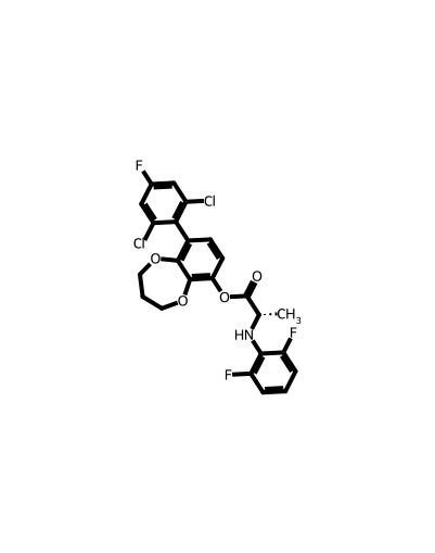 C[C@H](Nc1c(F)cccc1F)C(=O)Oc1ccc(-c2c(Cl)cc(F)cc2Cl)c2c1OCCCO2